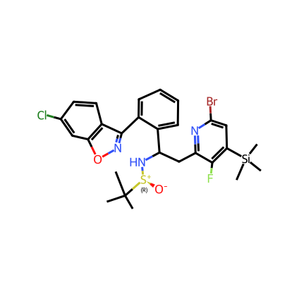 CC(C)(C)[S@+]([O-])NC(Cc1nc(Br)cc([Si](C)(C)C)c1F)c1ccccc1-c1noc2cc(Cl)ccc12